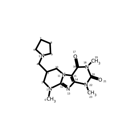 CN1CC(CN2CCCC2)Cn2c1nc1c2c(=O)n(C)c(=O)n1C